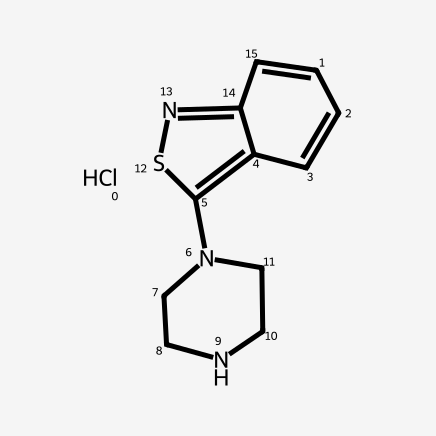 Cl.c1ccc2c(N3CCNCC3)snc2c1